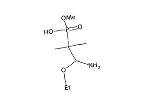 CCO[C](N)C(C)(C)P(=O)(O)OC